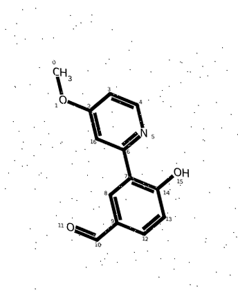 COc1ccnc(-c2cc(C=O)ccc2O)c1